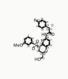 COc1cccc(S(=O)(=O)N2C[C@H](CO)Oc3ccc(NC(=O)[C@@H](C)c4ccc(F)cc4)nc32)c1